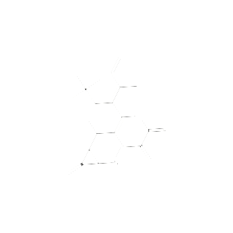 C=C/C(C)=C(\CC(C)(C)C)C1=C2C(=NC3C(=C)C3C2C)C(=C)C(=C)O1